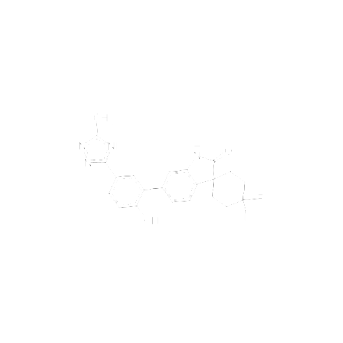 Cc1nnc(-c2ccc(C)c(-c3ccc4c(c3)NC(=O)C43CCC(F)(F)CC3)c2)[nH]1